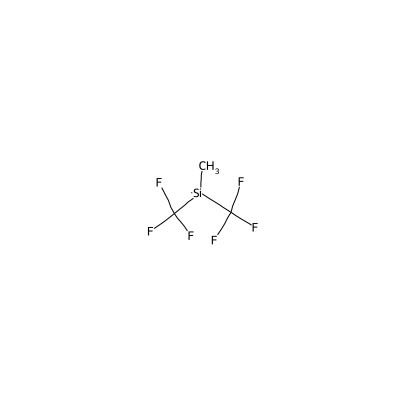 C[Si](C(F)(F)F)C(F)(F)F